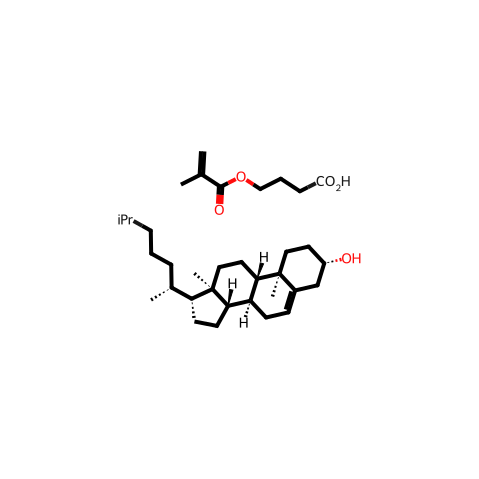 C=C(C)C(=O)OCCCC(=O)O.CC(C)CCC[C@@H](C)[C@H]1CC[C@H]2[C@@H]3CC=C4C[C@@H](O)CC[C@]4(C)[C@H]3CC[C@]12C